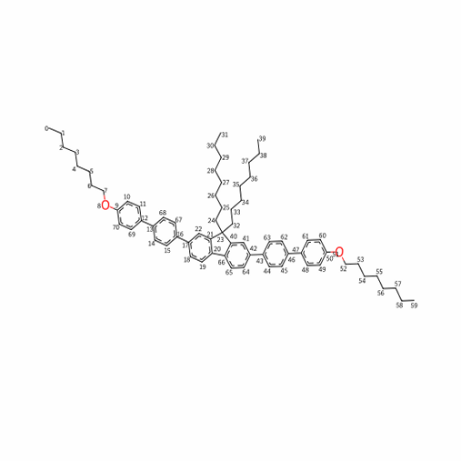 CCCCCCCCOc1ccc(-c2ccc(-c3ccc4c(c3)C(CCCCCCCC)(CCCCCCCC)c3cc(-c5ccc(-c6ccc(OCCCCCCCC)cc6)cc5)ccc3-4)cc2)cc1